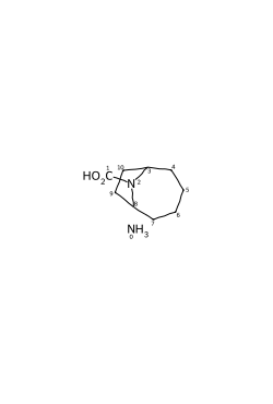 N.O=C(O)N1C2CCCCC1CC2